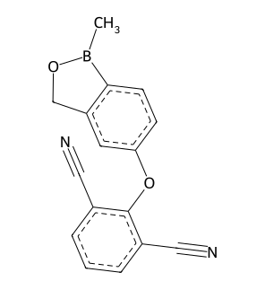 CB1OCc2cc(Oc3c(C#N)cccc3C#N)ccc21